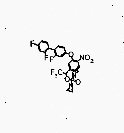 O=[N+]([O-])c1ccc(C(OP(=O)(N2CC2)N2CC2)C(F)(F)F)cc1Oc1ccc(-c2ccc(F)cc2F)c(F)c1